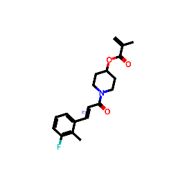 C=C(C)C(=O)OC1CCN(C(=O)/C=C/c2cccc(F)c2C)CC1